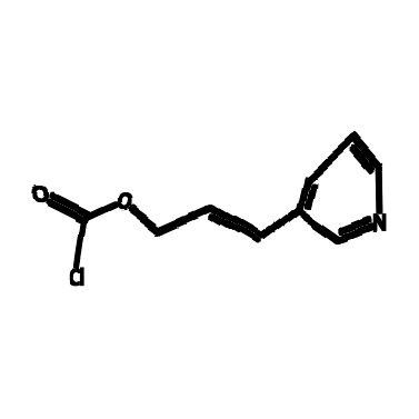 O=C(Cl)OCC=Cc1cccnc1